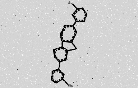 CC(C)(C)c1cccc(-c2ccc3c(c2)Cc2cc(-c4cccc(C(C)(C)C)c4)ccc2-3)c1